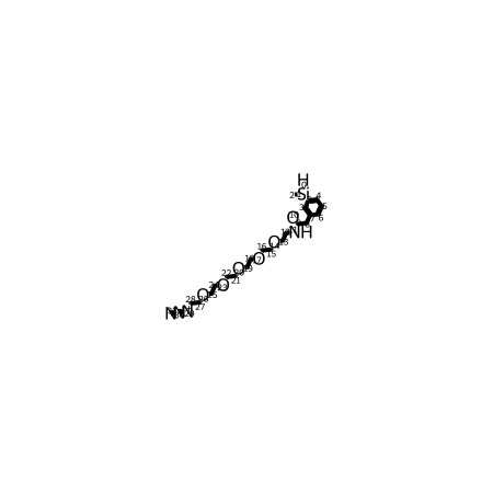 C[SiH](C)c1cccc(CC(=O)NCCOCCOCCOCCOCCOCCN=[N+]=[N-])c1